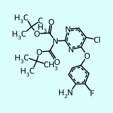 CC(C)(C)OC(=O)N(C(=O)OC(C)(C)C)c1ncc(Cl)c(Oc2ccc(N)c(F)c2)n1